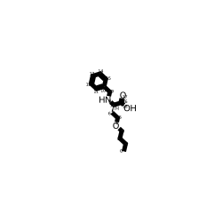 CCCCOCC[C@H](NCc1ccccc1)C(=O)O